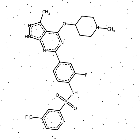 Cc1n[nH]c2nc(-c3ccc(NS(=O)(=O)c4cc(C(F)(F)F)ccn4)c(F)c3)nc(OC3CCN(C)CC3)c12